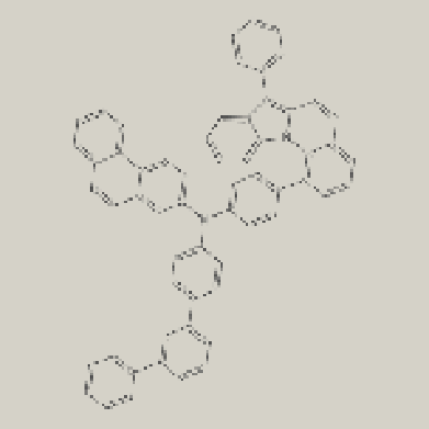 c1ccc(-c2cccc(-c3ccc(N(c4ccc(-c5cccc6ccc7c(-c8ccccc8)c8ccccc8n7c56)cc4)c4ccc5c(ccc6ccccc65)c4)cc3)c2)cc1